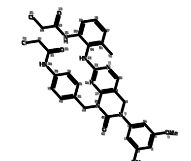 COc1cc(OC)cc(N2Cc3cnc(Nc4c(C)cccc4NC(=O)CCl)nc3N(Cc3ccc(NC(=O)CCl)cc3)C2=O)c1